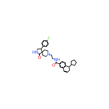 O=C(NCCN1CCC2(CC1)C(=O)NCC2c1ccc(F)cc1)c1ccc2c(c1)C=CCC2C1CCCC1